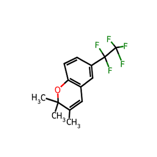 CC1=Cc2cc(C(F)(F)C(F)(F)F)ccc2OC1(C)C